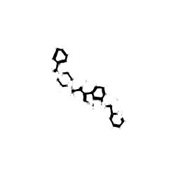 C[C@@H]1CN(C(=O)c2ccccc2)CCN1C(=O)C(=O)c1c[nH]c2c(NC(=O)c3ccccn3)cccc12